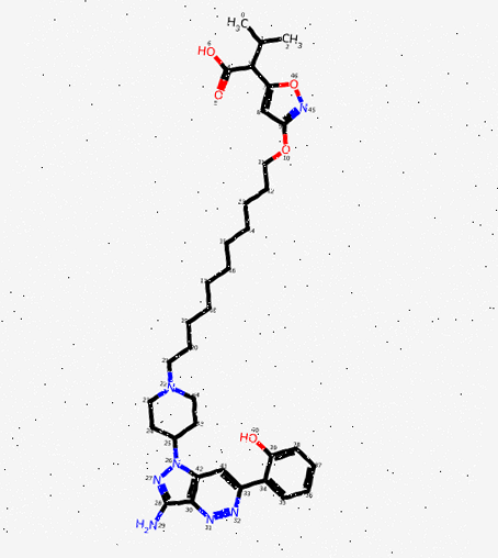 CC(C)C(C(=O)O)c1cc(OCCCCCCCCCCCN2CCC(n3nc(N)c4nnc(-c5ccccc5O)cc43)CC2)no1